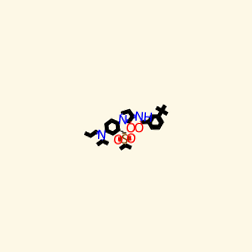 CCCN(C(C)C)[C@@H]1CC[C@H](N2CCC(NC(=O)c3cccc(C(C)(C)C)c3)C2=O)[C@H](CS(=O)(=O)C(C)C)C1